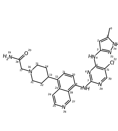 Cc1cc(Nc2nc(Nc3ccc(C4CCN(CC(N)=O)CC4)c4ccncc34)ncc2Cl)n[nH]1